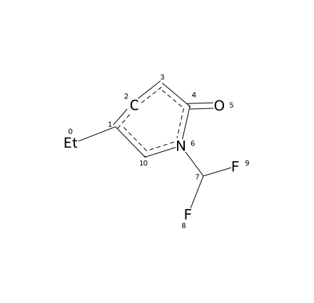 CCc1ccc(=O)n(C(F)F)c1